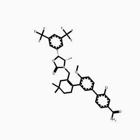 COc1ccc(-c2ccc(C(N)=O)cc2Cl)cc1C1=C(CN2C(=O)O[C@H](c3cc(C(F)(F)F)cc(C(F)(F)F)c3)[C@@H]2C)CC(C)(C)CC1